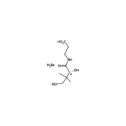 CC(C)(CO)[C@@H](O)C(=O)NCCC(=O)O.[BaH2]